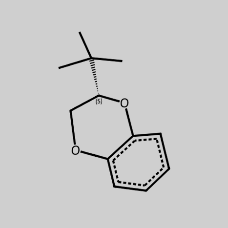 CC(C)(C)[C@H]1COc2ccccc2O1